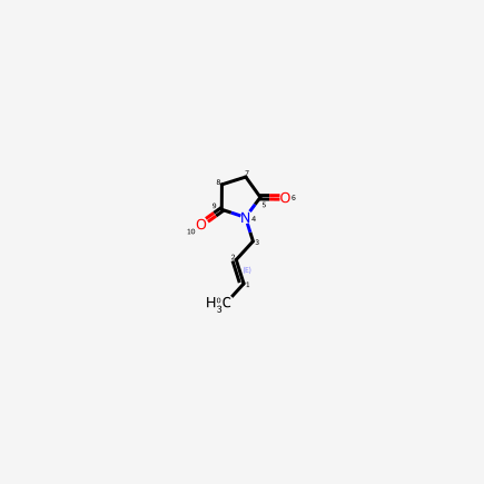 C/C=C/CN1C(=O)CCC1=O